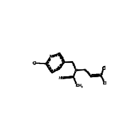 CC(=N)N(CC=C(Cl)Cl)Cc1ccc(Cl)nc1